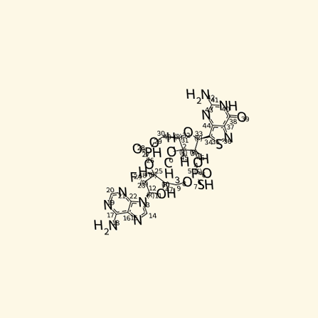 CO[C@H]1[C@H]2O[P@@](=O)(S)OC[C@H]3O[C@@H](n4cnc5c(N)ncnc54)[C@H](F)[C@@H]3O[PH](=O)OC[C@H]1O[C@H]2c1snc2c(=O)[nH]c(N)nc12